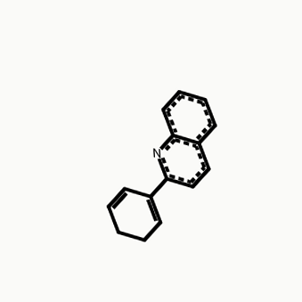 C1=CC(c2ccc3ccccc3n2)=CCC1